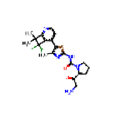 Cc1nc(NC(=O)N2CCC[C@H]2C(=O)CN)sc1-c1ccnc2c1C(F)(F)C2(C)C